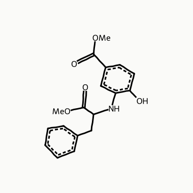 COC(=O)c1ccc(O)c(NC(Cc2ccccc2)C(=O)OC)c1